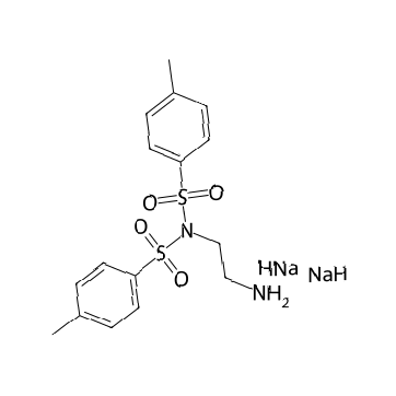 Cc1ccc(S(=O)(=O)N(CCN)S(=O)(=O)c2ccc(C)cc2)cc1.[NaH].[NaH]